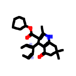 C/C=C\C(=C/C)C1C(C(=O)OC2CCCCC2)=C(C)NC2=C1C(=O)CC(C)(C)C2